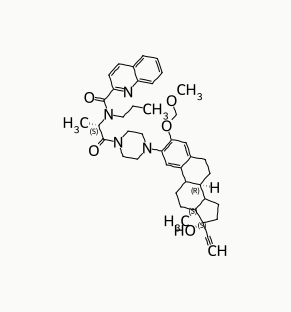 C#C[C@]1(O)CCC2[C@@H]3CCc4cc(OCOC)c(N5CCN(C(=O)[C@H](C)N(CCC)C(=O)c6ccc7ccccc7n6)CC5)cc4C3CC[C@@]21C